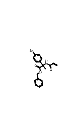 C=CC(=O)NC(C)(C(=O)OCc1ccccc1)c1ccc(Br)cc1